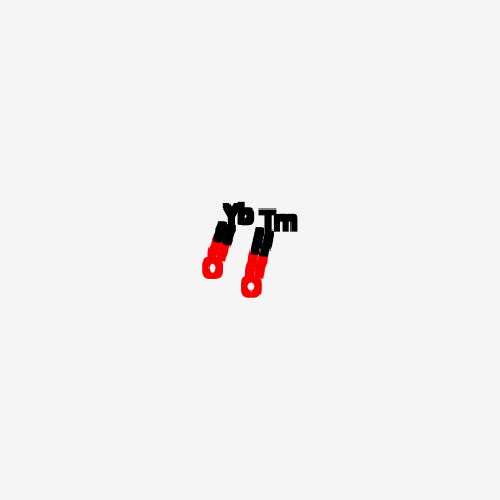 [O]=[Tm].[O]=[Yb]